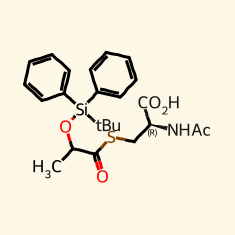 CC(=O)N[C@@H](CSC(=O)C(C)O[Si](c1ccccc1)(c1ccccc1)C(C)(C)C)C(=O)O